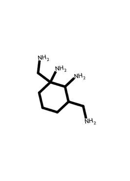 NCC1CCCC(N)(CN)C1N